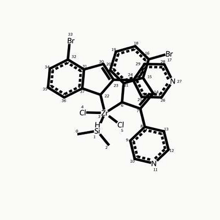 C[SiH](C)[Zr]([Cl])([Cl])([CH]1C(c2ccncc2)=Cc2c(Br)cccc21)[CH]1C(c2ccncc2)=Cc2c(Br)cccc21